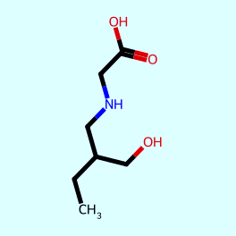 CCC(CO)CNCC(=O)O